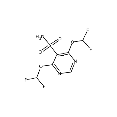 NS(=O)(=O)c1c(OC(F)F)ncnc1OC(F)F